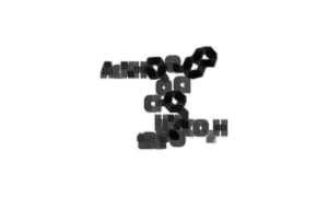 CC(=O)Nc1ccc(OCc2ccc3ccccc3c2)c(COc2c(Cl)cc(C[C@H](NC(=O)OC(C)(C)C)C(=O)O)cc2Cl)c1